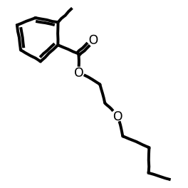 CCCCOCCOC(=O)c1ccccc1C